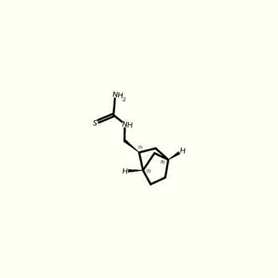 NC(=S)NC[C@H]1C[C@@H]2CC[C@H]1C2